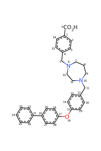 O=C(O)c1ccc(CN2CCCN(Cc3ccc(Oc4ccc(-c5ccccc5)cc4)cc3)CC2)cc1